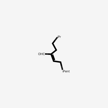 CCCC(C)C/C=C(/C=O)CCC(C)C